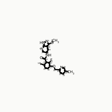 COc1n[nH]c2ncc(NC(=O)c3c(I)ccc(OCc4ccc(C)cn4)c3F)cc12